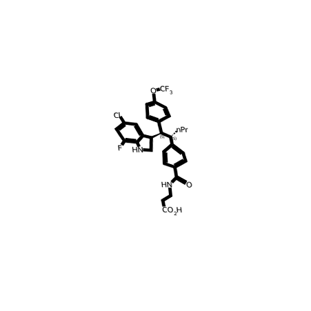 CCC[C@H](c1ccc(C(=O)NCCC(=O)O)cc1)[C@H](c1ccc(OC(F)(F)F)cc1)C1CNc2c(F)cc(Cl)cc21